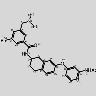 CCN(CC)Cc1cc(C(=O)NC2CCc3ccc(Oc4ccnc(NC(C)=O)c4)cc3C2)cc(C(C)(C)C)c1